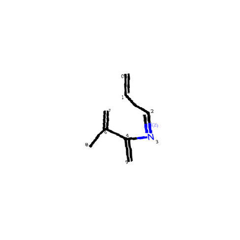 C=C/C=N\C(=C)C(=C)C